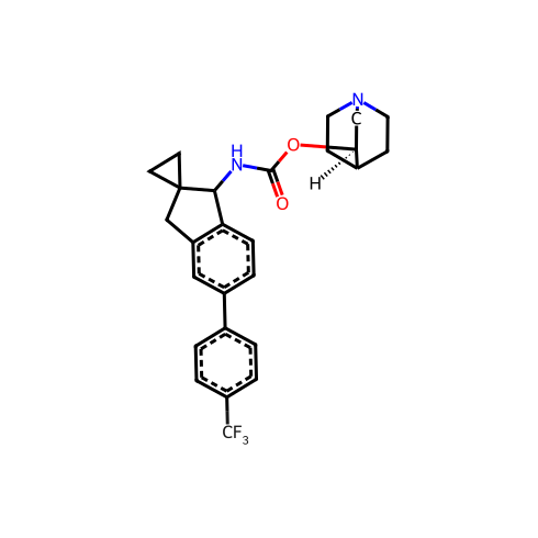 O=C(NC1c2ccc(-c3ccc(C(F)(F)F)cc3)cc2CC12CC2)O[C@H]1CN2CCC1CC2